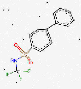 O=S(=O)(NC(F)(F)F)c1ccc(-c2ccccc2)cc1